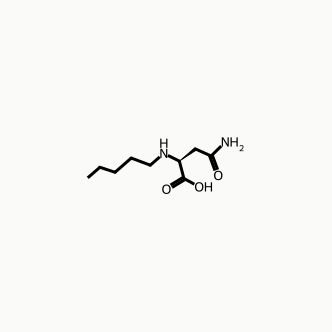 CCCCCN[C@@H](CC(N)=O)C(=O)O